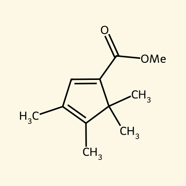 COC(=O)C1=CC(C)=C(C)C1(C)C